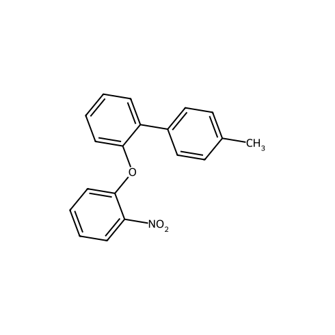 Cc1ccc(-c2ccccc2Oc2ccccc2[N+](=O)[O-])cc1